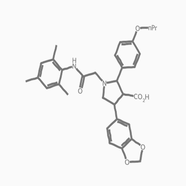 CCCOc1ccc(C2C(C(=O)O)C(c3ccc4c(c3)OCO4)CN2CC(=O)Nc2c(C)cc(C)cc2C)cc1